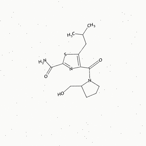 CC(C)Cc1sc(C(N)=O)nc1C(=O)N1CCCC1CO